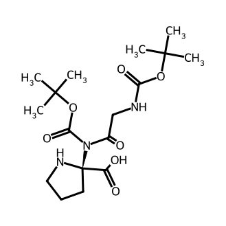 CC(C)(C)OC(=O)NCC(=O)N(C(=O)OC(C)(C)C)[C@@]1(C(=O)O)CCCN1